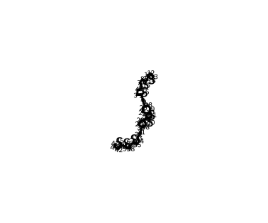 C(#Cc1ccc(-c2ccc(-c3cccs3)s2)s1)C1=CCc2sc3c(c2C=C1)C1C=CC(C#Cc2ccc(-c4ccc(-c5cccs5)s4)s2)=CC1S3